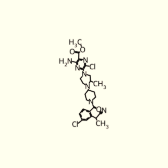 COC(=O)c1nc(Cl)c(N2CCN(C3CCN(C(=O)c4ccc(Cl)cc4C(C)C#N)CC3)C(C)C2)nc1N